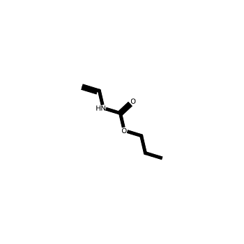 C=CNC(=O)OCCC